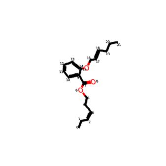 CC/C=C\CCOC(=O)c1ccccc1OCC=CCCC